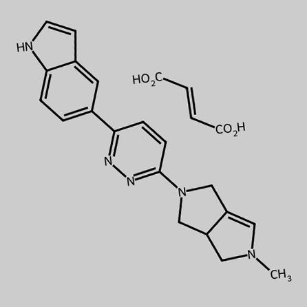 CN1C=C2CN(c3ccc(-c4ccc5[nH]ccc5c4)nn3)CC2C1.O=C(O)C=CC(=O)O